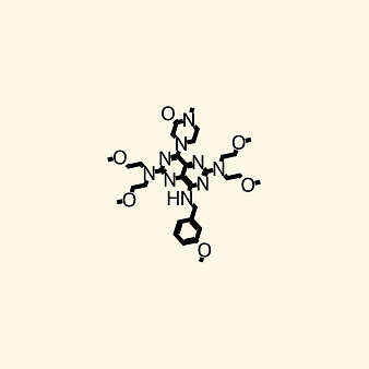 COCCN(CCOC)c1nc(N2CCN(C)C(=O)C2)c2nc(N(CCOC)CCOC)nc(NCc3cccc(OC)c3)c2n1